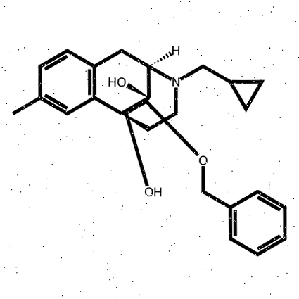 Cc1ccc2c(c1)[C@]13CCN(CC4CC4)[C@H](C2)[C@]1(O)CC(OCc1ccccc1)C(O)C3